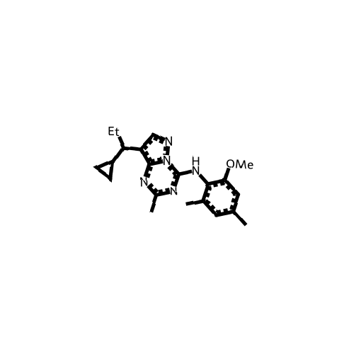 CCC(c1cnn2c(Nc3c(C)cc(C)cc3OC)nc(C)nc12)C1CC1